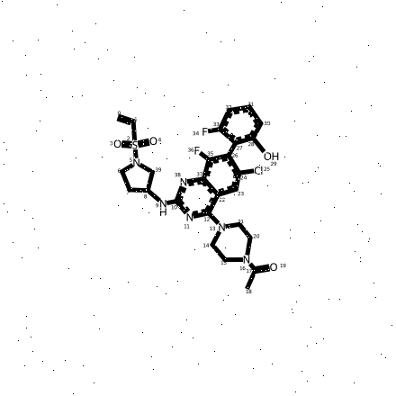 C=CS(=O)(=O)N1CCC(Nc2nc(N3CCN(C(C)=O)CC3)c3cc(Cl)c(-c4c(O)cccc4F)c(F)c3n2)C1